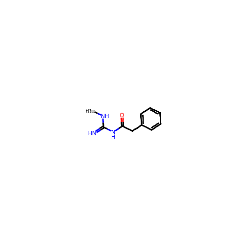 CC(C)(C)NC(=N)NC(=O)Cc1ccccc1